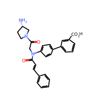 N[C@H]1CCN(C(=O)CN(C(=O)C=Cc2ccccc2)c2ccc(-c3cccc(C(=O)O)c3)cc2)C1